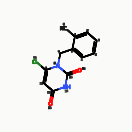 N#Cc1ccccc1Cn1c(Cl)cc(=O)[nH]c1=O